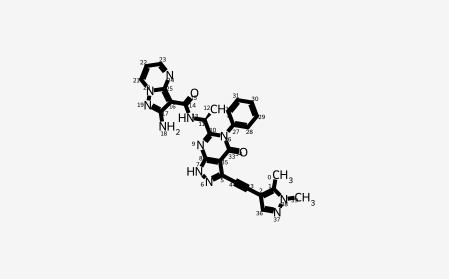 Cc1c(C#Cc2n[nH]c3nc([C@H](C)NC(=O)c4c(N)nn5cccnc45)n(-c4ccccc4)c(=O)c23)cnn1C